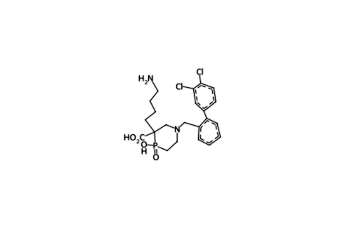 NCCCCC1(C(=O)O)CN(Cc2ccccc2-c2ccc(Cl)c(Cl)c2)CCP1(=O)O